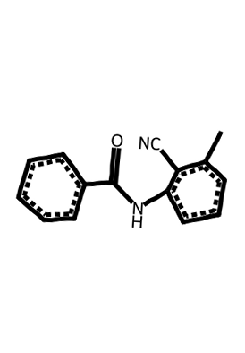 Cc1cccc(NC(=O)c2ccccc2)c1C#N